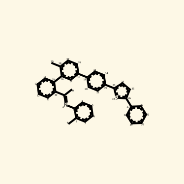 C/C(=N\c1ccccc1C)c1ccccc1-c1cc(-c2ccc(-c3ccc(-c4ccccc4)s3)cc2)ccc1C